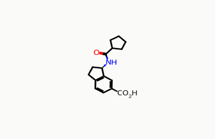 O=C(O)c1ccc2c(c1)[C@H](NC(=O)C1CCCC1)CC2